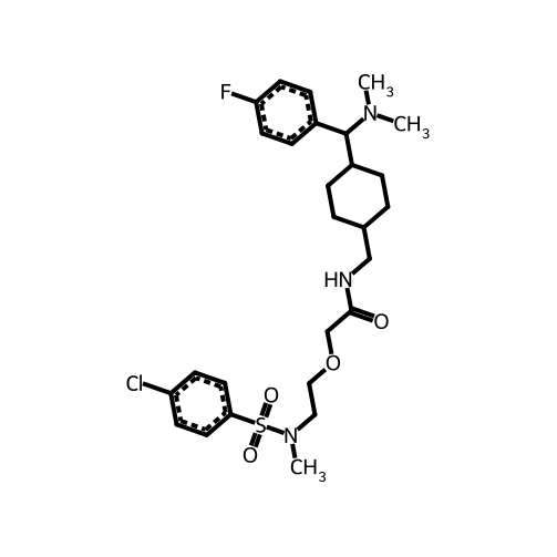 CN(C)C(c1ccc(F)cc1)C1CCC(CNC(=O)COCCN(C)S(=O)(=O)c2ccc(Cl)cc2)CC1